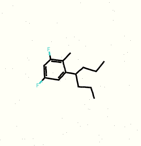 CCCC(CCC)c1cc(F)cc(F)c1C